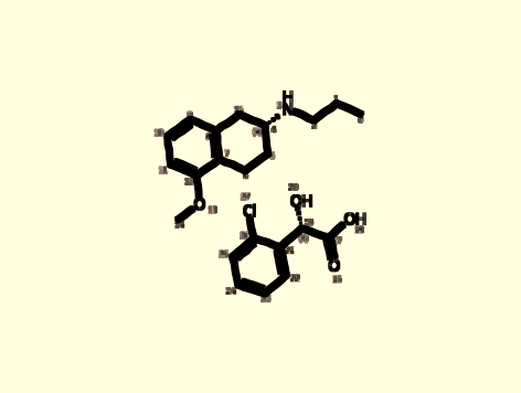 CCCN[C@@H]1CCc2c(cccc2OC)C1.O=C(O)[C@@H](O)c1ccccc1Cl